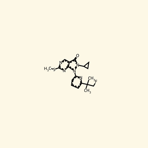 CSc1ncc2c(=O)n(C3CC3)n(-c3cccc(C(C)(C)CF)n3)c2n1